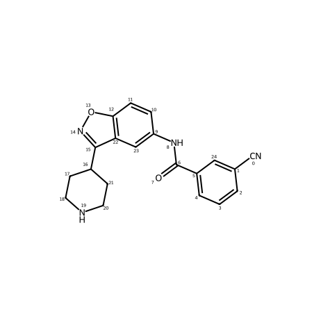 N#Cc1cccc(C(=O)Nc2ccc3onc(C4CCNCC4)c3c2)c1